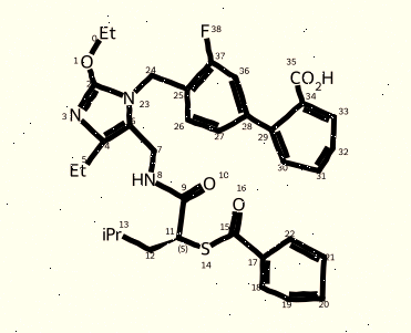 CCOc1nc(CC)c(CNC(=O)[C@H](CC(C)C)SC(=O)c2ccccc2)n1Cc1ccc(-c2ccccc2C(=O)O)cc1F